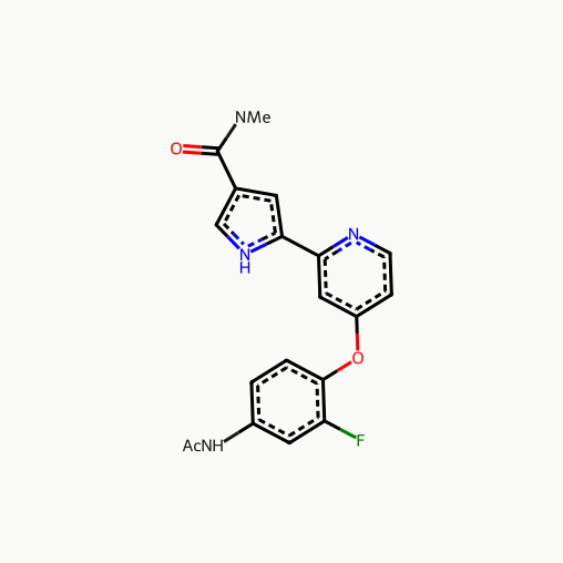 CNC(=O)c1c[nH]c(-c2cc(Oc3ccc(NC(C)=O)cc3F)ccn2)c1